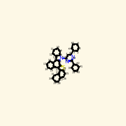 c1ccc(-c2cc(-n3c4ccccc4c4c5ccccc5c5c(sc6ccc7ccccc7c65)c43)nc(-c3ccccc3)n2)cc1